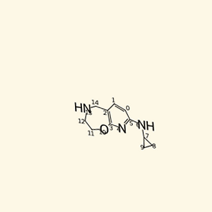 c1cc2c(nc1NC1CC1)OCCNC2